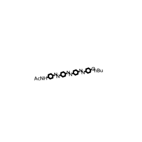 CCCCOc1ccc(N=Nc2ccc(N=Nc3ccc(N=Nc4ccc(NC(C)=O)cc4)cc3)cc2)cc1